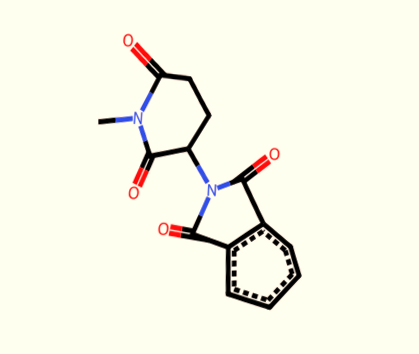 CN1C(=O)CCC(N2C(=O)c3ccccc3C2=O)C1=O